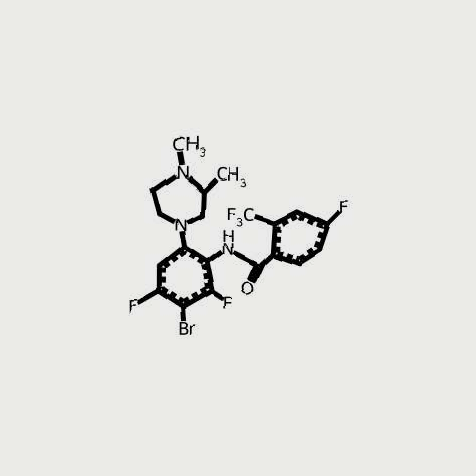 CC1CN(c2cc(F)c(Br)c(F)c2NC(=O)c2ccc(F)cc2C(F)(F)F)CCN1C